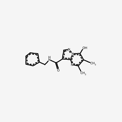 Cc1nc2c(C(=O)NCc3ccccc3)cnn2c(O)c1C